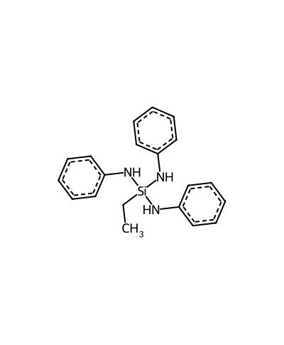 CC[Si](Nc1ccccc1)(Nc1ccccc1)Nc1ccccc1